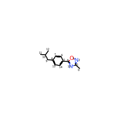 Cc1noc(-c2ccc(CC(C)C)cc2)n1